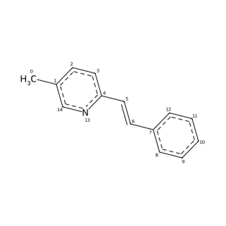 Cc1ccc(/C=C/c2ccccc2)nc1